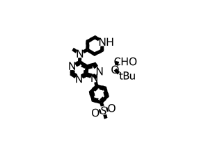 CC(C)(C)OC=O.CN(c1ncnc2c1cnn2-c1ccc(S(C)(=O)=O)cc1)C1CCNCC1